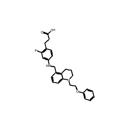 O=C(O)CCc1ccc(NCc2cccc3c2CCCN3CCOc2ccccc2)cc1F